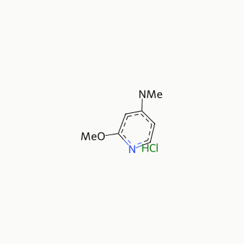 CNc1ccnc(OC)c1.Cl